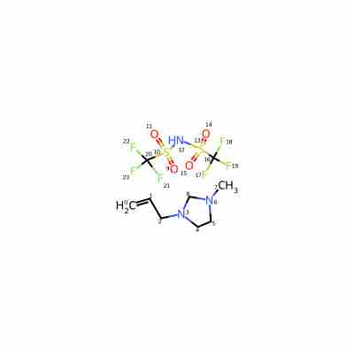 C=CCN1CCN(C)C1.O=S(=O)(NS(=O)(=O)C(F)(F)F)C(F)(F)F